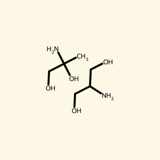 CC(N)(O)CO.NC(CO)CO